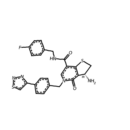 N[C@H]1CSc2c(C(=O)NCc3ccc(F)cc3)cn(Cc3ccc(-c4csnn4)cc3)c(=O)c21